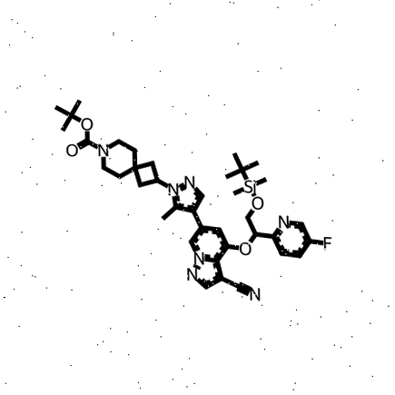 Cc1c(-c2cc(OC(CO[Si](C)(C)C(C)(C)C)c3ccc(F)cn3)c3c(C#N)cnn3c2)cnn1C1CC2(CCN(C(=O)OC(C)(C)C)CC2)C1